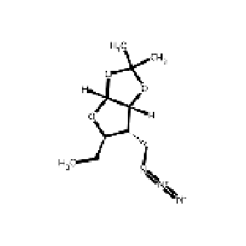 CC[C@H]1O[C@@H]2OC(C)(C)O[C@@H]2[C@@H]1CN=[N+]=[N-]